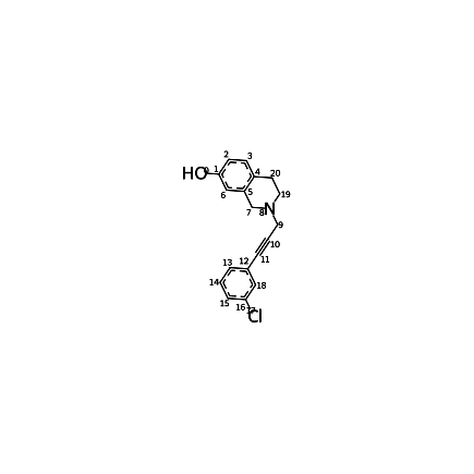 Oc1ccc2c(c1)CN(CC#Cc1cccc(Cl)c1)CC2